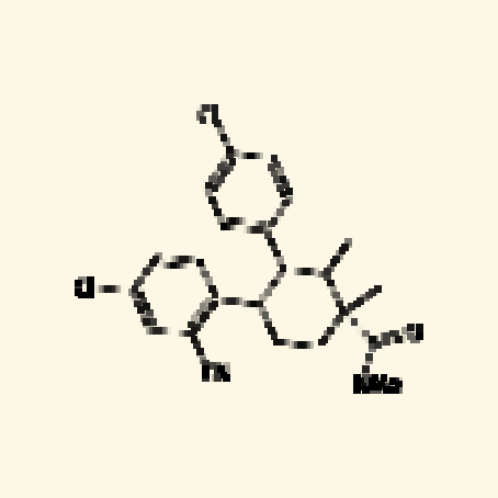 CNC(=O)C1(C)CCC(c2ccc(Cl)cc2C#N)C(c2ccc(Cl)cc2)C1C